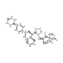 CC(C)(C)N(C[C@H]1CCN(c2nc(-c3ccc(N4CCOCC4)cc3)cc3nccnc23)C1)C(=O)O